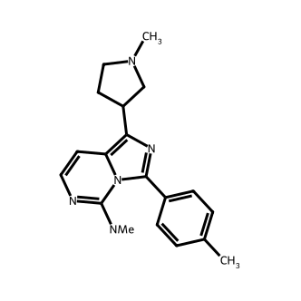 CNc1nccc2c(C3CCN(C)C3)nc(-c3ccc(C)cc3)n12